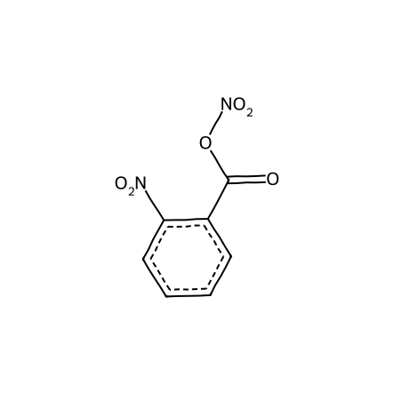 O=C(O[N+](=O)[O-])c1ccccc1[N+](=O)[O-]